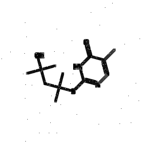 Cc1cnc(SC(C)(C)CC(C)(C)O)[nH]c1=O